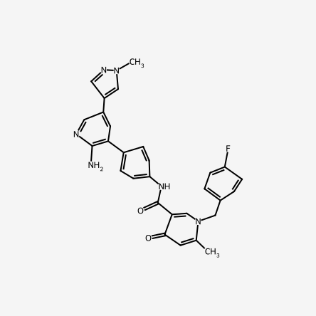 Cc1cc(=O)c(C(=O)Nc2ccc(-c3cc(-c4cnn(C)c4)cnc3N)cc2)cn1Cc1ccc(F)cc1